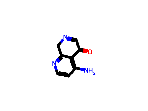 Nc1ccnc2c1C(=O)C=NC2